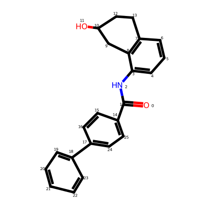 O=C(Nc1cccc2c1CC(O)CC2)c1ccc(-c2ccccc2)cc1